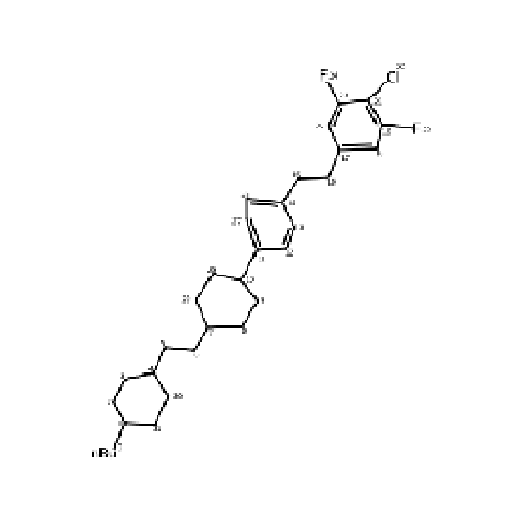 CCCCC1CCC(CCC2CCC(c3ccc(CCc4cc(F)c(Cl)c(F)c4)cc3)CC2)CC1